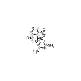 Nc1cccc(N)n1.O=[N+]([O-])c1cccc([N+](=O)[O-])c1[N+](=O)[O-]